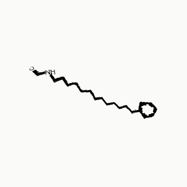 O=CNCCCCCCCCCCCCCc1ccccc1